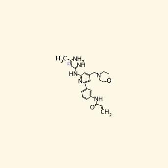 C=CC(=O)Nc1cccc(-c2cc(CN3CCOCC3)cc(NC(=N)/C=C(/C)N)n2)c1